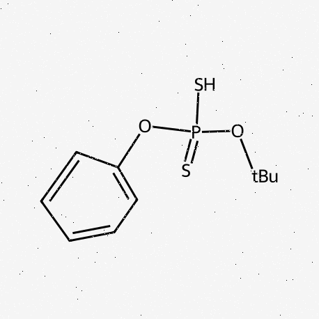 CC(C)(C)OP(=S)(S)Oc1ccccc1